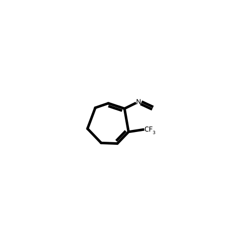 C=NC1=CCCCC=C1C(F)(F)F